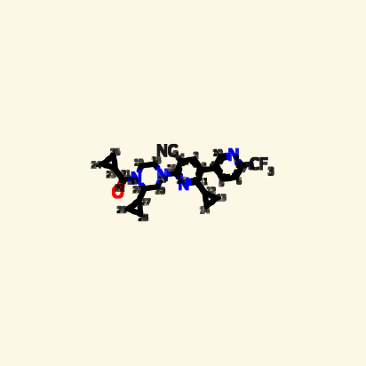 N#Cc1cc(-c2ccc(C(F)(F)F)nc2)c(C2CC2)nc1N1CCN(C(=O)C2CC2)C(C2CC2)C1